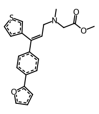 COC(=O)CN(C)CC=C(c1ccc(-c2ccco2)cc1)c1ccsc1